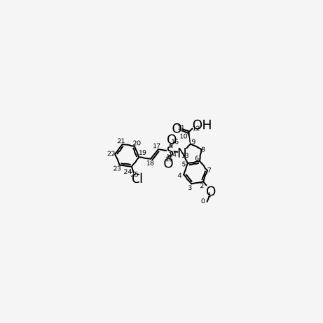 COc1ccc2c(c1)C[C@H](C(=O)O)N2S(=O)(=O)/C=C/c1ccccc1Cl